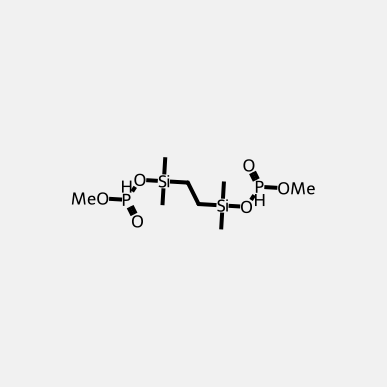 CO[PH](=O)O[Si](C)(C)CC[Si](C)(C)O[PH](=O)OC